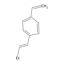 C=Cc1ccc(C=CCC)cc1